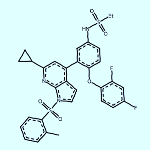 CCS(=O)(=O)Nc1ccc(Oc2ccc(F)cc2F)c(-c2cc(C3CC3)nc3c2ccn3S(=O)(=O)c2ccccc2C)c1